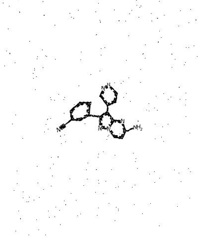 N#Cc1cccc(-c2nn3ccc(N)nc3c2-c2ccnnc2)c1